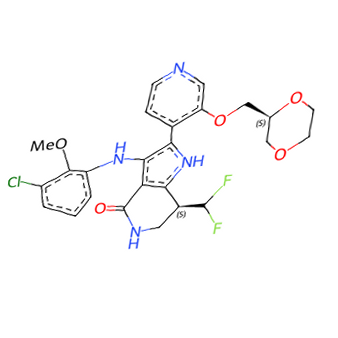 COc1c(Cl)cccc1Nc1c(-c2ccncc2OC[C@@H]2COCCO2)[nH]c2c1C(=O)NC[C@@H]2C(F)F